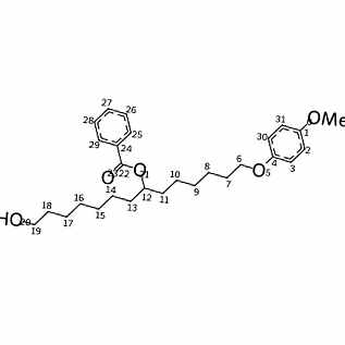 COc1ccc(OCCCCCCC(CCCCCCCO)OC(=O)c2ccccc2)cc1